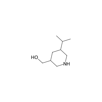 CC(C)C1CNCC(CO)C1